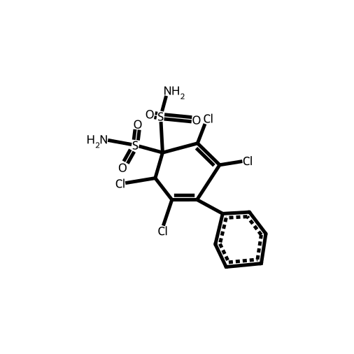 NS(=O)(=O)C1(S(N)(=O)=O)C(Cl)=C(Cl)C(c2ccccc2)=C(Cl)C1Cl